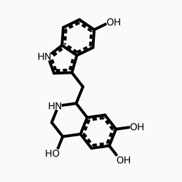 Oc1ccc2[nH]cc(CC3NCC(O)c4cc(O)c(O)cc43)c2c1